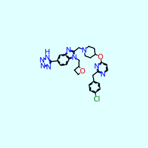 Clc1ccc(Cc2nccc(OC3CCN(Cc4nc5cc(-c6nnn[nH]6)ccc5n4CC4CCO4)CC3)n2)cc1